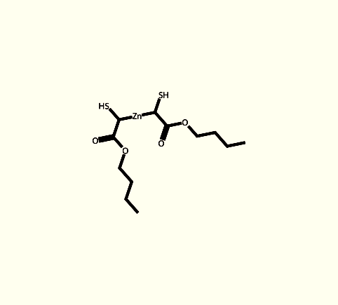 CCCCOC(=O)[CH](S)[Zn][CH](S)C(=O)OCCCC